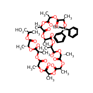 C[C@H](O[Si](c1ccccc1)(c1ccccc1)C(C)(C)C)C(=O)O[C@H](C)C(=O)O[C@H](C)C(=O)O[C@H](C)C(=O)O[C@H](C)C(=O)O[C@H](C)C(=O)O[C@H](C)C(=O)O[C@H](C)C(=O)O[C@H](C)C(=O)O[C@H](C)C(=O)O[C@H](C)C(=O)O[C@H](C)C(=O)O